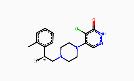 CC[C@H](CN1CCN(c2cn[nH]c(=O)c2Cl)CC1)c1ccccc1C